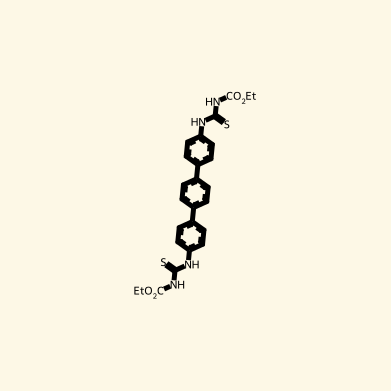 CCOC(=O)NC(=S)Nc1ccc(-c2ccc(-c3ccc(NC(=S)NC(=O)OCC)cc3)cc2)cc1